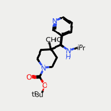 CC(C)NC(c1cccnc1)C1(C=O)CCN(C(=O)OC(C)(C)C)CC1